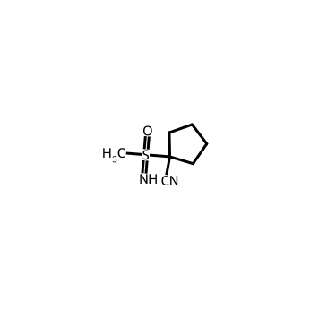 CS(=N)(=O)C1(C#N)CCCC1